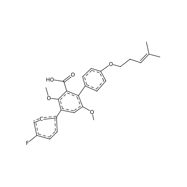 COc1cc(-c2ccc(F)cc2)c(OC)c(C(=O)O)c1-c1ccc(OCCC=C(C)C)cc1